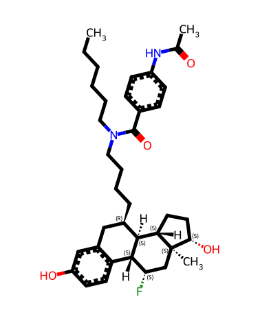 CCCCCCN(CCCC[C@@H]1Cc2cc(O)ccc2[C@@H]2[C@@H]1[C@@H]1CC[C@H](O)[C@@]1(C)C[C@@H]2F)C(=O)c1ccc(NC(C)=O)cc1